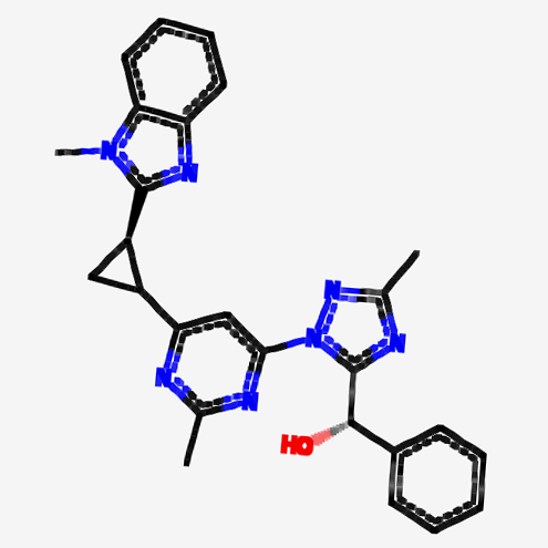 Cc1nc(C2C[C@H]2c2nc3ccccc3n2C)cc(-n2nc(C)nc2[C@@H](O)c2ccccc2)n1